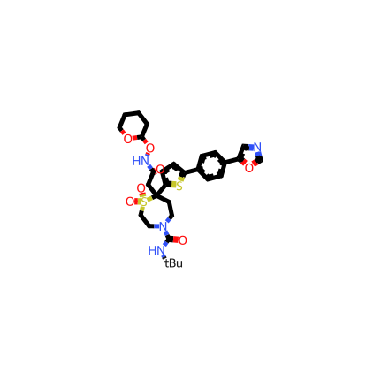 CC(C)(C)NC(=O)N1CCC(CC(=O)NOC2CCCCO2)(c2ccc(-c3ccc(-c4cnco4)cc3)s2)S(=O)(=O)CC1